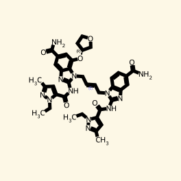 CCn1nc(C)cc1C(=O)Nc1nc2cc(C(N)=O)ccc2n1C/C=C/Cn1c(NC(=O)c2cc(C)nn2CC)nc2cc(C(N)=O)cc(O[C@@H]3CCOC3)c21